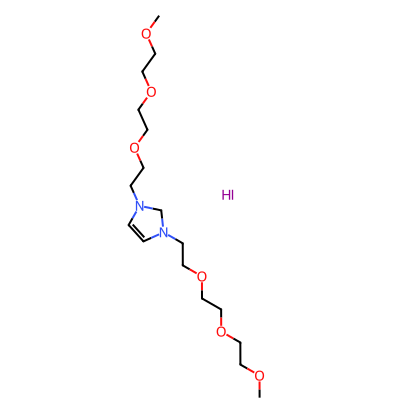 COCCOCCOCCN1C=CN(CCOCCOCCOC)C1.I